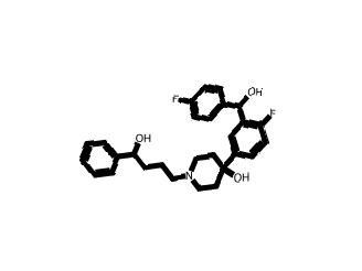 OC(CCCN1CCC(O)(c2ccc(F)c(C(O)c3ccc(F)cc3)c2)CC1)c1ccccc1